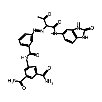 CC(=O)C(N=Nc1cccc(C(=O)Nc2cc(C(N)=O)cc(C(N)=O)c2)c1)C(=O)Nc1ccc2[nH]c(=O)[nH]c2c1